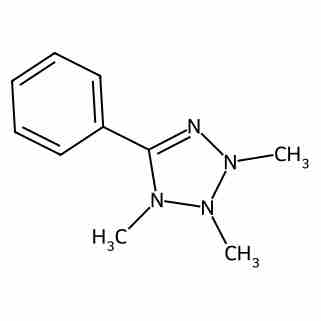 CN1N=C(c2ccccc2)N(C)N1C